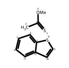 COC(C)=S.c1ccc2sccc2c1